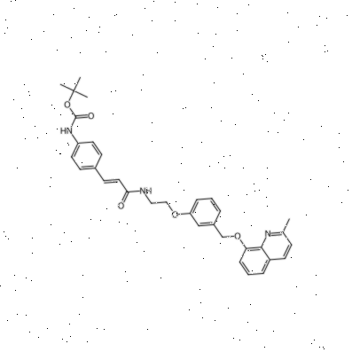 Cc1ccc2cccc(OCc3cccc(OCCNC(=O)C=Cc4ccc(NC(=O)OC(C)(C)C)cc4)c3)c2n1